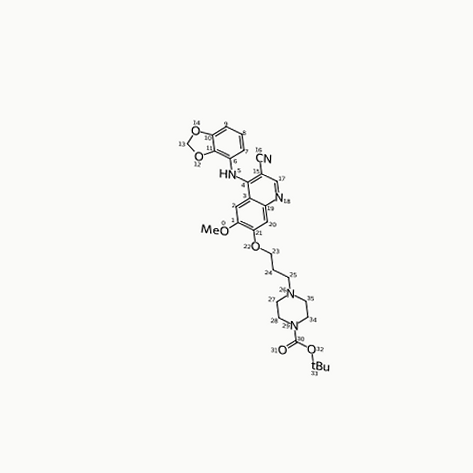 COc1cc2c(Nc3cccc4c3OCO4)c(C#N)cnc2cc1OCCCN1CCN(C(=O)OC(C)(C)C)CC1